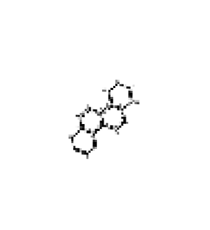 C1=CCc2ccc3c4c(ccc3c2=C1)C=CCC=4